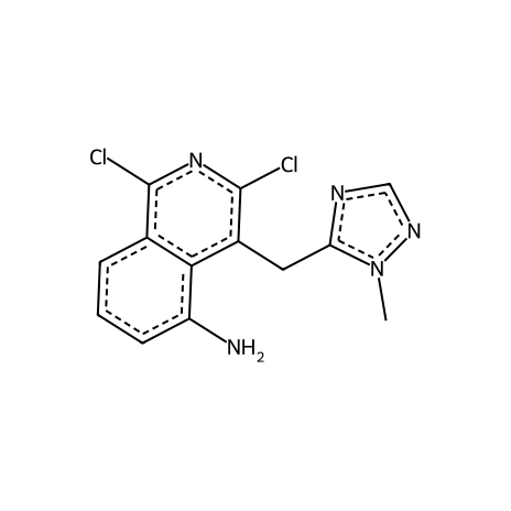 Cn1ncnc1Cc1c(Cl)nc(Cl)c2cccc(N)c12